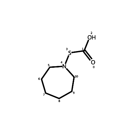 O=C(O)SN1CCCCCC1